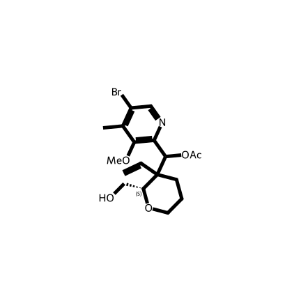 C=CC1(C(OC(C)=O)c2ncc(Br)c(C)c2OC)CCCO[C@@H]1CO